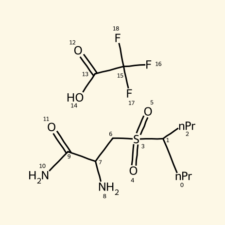 CCCC(CCC)S(=O)(=O)CC(N)C(N)=O.O=C(O)C(F)(F)F